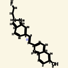 Oc1ccc2nc(/C=C/c3ccc4cn(CCF)nc4c3)ccc2c1